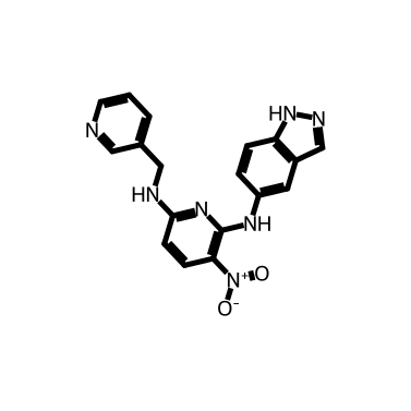 O=[N+]([O-])c1ccc(NCc2cccnc2)nc1Nc1ccc2[nH]ncc2c1